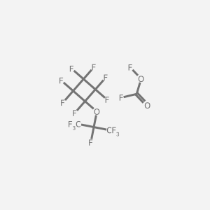 FC(F)(F)C(F)(OC1(F)C(F)(F)C(F)(F)C1(F)F)C(F)(F)F.O=C(F)OF